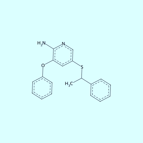 CC(Sc1cnc(N)c(Oc2ccccc2)c1)c1ccccc1